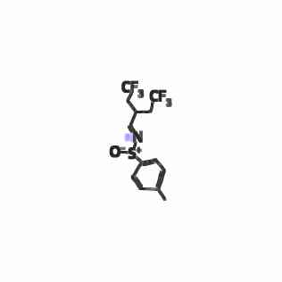 Cc1ccc([S+]([O-])/N=C/C(CC(F)(F)F)CC(F)(F)F)cc1